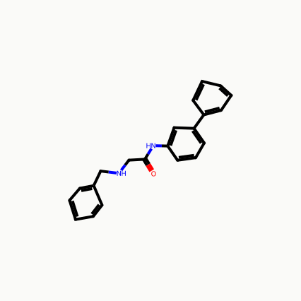 O=C(CNCc1ccccc1)Nc1cccc(-c2ccccc2)c1